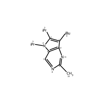 CCC(C)c1c(C(C)C)n(C(C)C)c2cnc(C)nc12